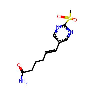 CS(=O)(=O)c1ncc(C=CCCCC(N)=O)cn1